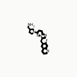 NCC1CCN(c2ccc3ncc(Cc4cc5cccnc5cc4F)n3n2)C1